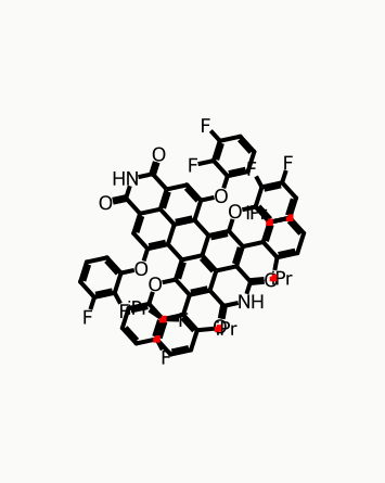 CC(C)c1cccc(C(C)C)c1-c1c2c3c(c(-c4c(C(C)C)cccc4C(C)C)c(Oc4cccc(F)c4F)c4c5c(Oc6cccc(F)c6F)cc6c7c(cc(Oc8cccc(F)c8F)c(c(c1Oc1cccc(F)c1F)c34)c75)C(=O)NC6=O)C(=O)NC2=O